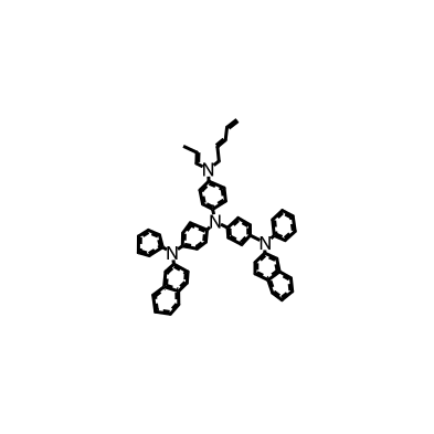 C=C/C=C/CN(/C=C/C)c1ccc(N(c2ccc(N(c3ccccc3)c3ccc4ccccc4c3)cc2)c2ccc(N(c3ccccc3)c3ccc4ccccc4c3)cc2)cc1